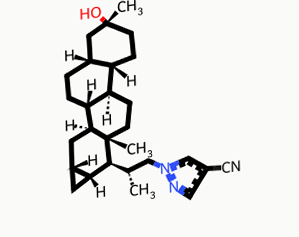 C[C@@H](Cn1cc(C#N)cn1)[C@H]1[C@@H]2C[C@@H]2C[C@H]2[C@@H]3CC[C@@H]4C[C@](C)(O)CC[C@@H]4[C@H]3CC[C@]12C